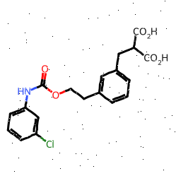 O=C(Nc1cccc(Cl)c1)OCCc1cccc(CC(C(=O)O)C(=O)O)c1